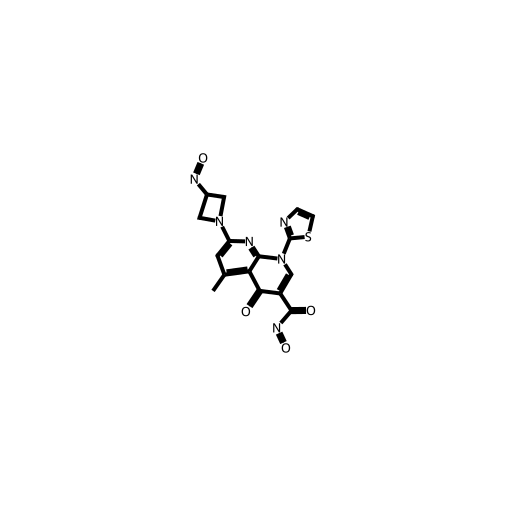 Cc1cc(N2CC(N=O)C2)nc2c1c(=O)c(C(=O)N=O)cn2-c1nccs1